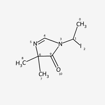 CC(I)N1C=NC(C)(C)C1=O